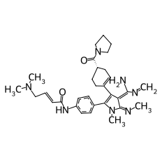 C=N/C(N)=C1/C(C2=CC[C@@H](C(=O)N3CCCC3)CC2)=C(c2ccc(NC(=O)/C=C/CN(C)C)cc2)N(C)/C1=N/C